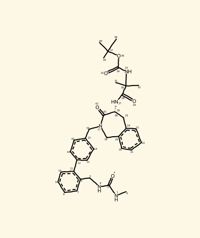 CNC(=O)NCc1ccccc1-c1ccc(CN2Cc3ccccc3C[C@@H](NC(=O)C(C)(C)NC(=O)OC(C)(C)C)C2=O)cc1